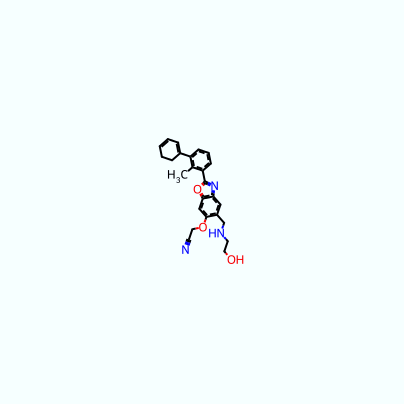 Cc1c(C2=CC=CCC2)cccc1-c1nc2cc(CNCCO)c(OCC#N)cc2o1